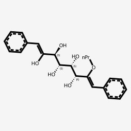 CCCOC(=Cc1ccccc1)[C@H](O)[C@@H](O)[C@H](O)[C@H](O)C(O)=Cc1ccccc1